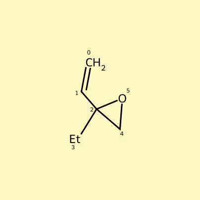 C=CC1(CC)CO1